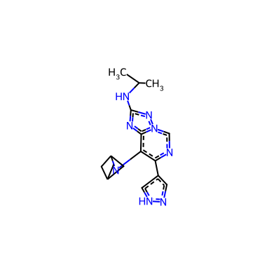 CC(C)Nc1nc2c(N3CC4CC3C4)c(-c3cn[nH]c3)ncn2n1